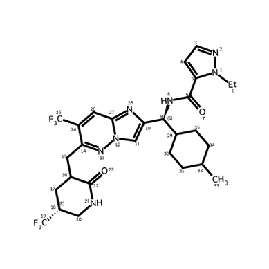 CCn1nccc1C(=O)N[C@H](c1cn2nc(CC3C[C@@H](C(F)(F)F)CNC3=O)c(C(F)(F)F)cc2n1)C1CCC(C)CC1